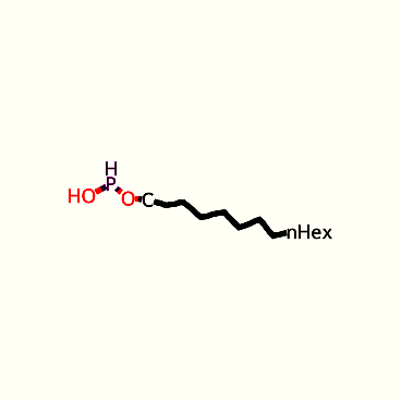 CCCCCCCCCCCCCCOPO